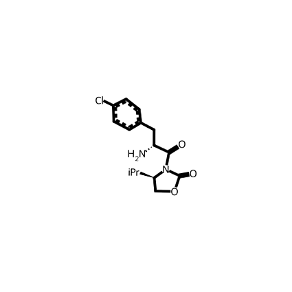 CC(C)[C@@H]1COC(=O)N1C(=O)[C@H](N)Cc1ccc(Cl)cc1